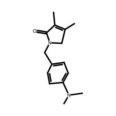 CC1=C(C)C(=O)N(Cc2ccc(N(C)C)cc2)C1